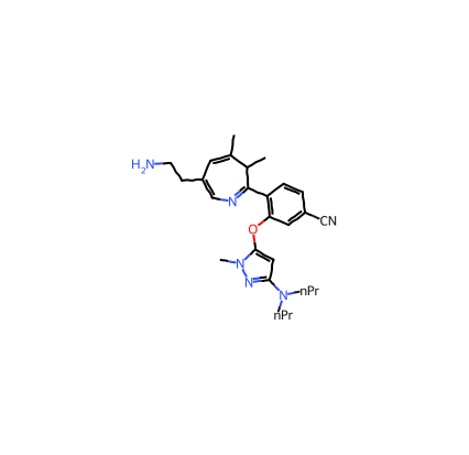 CCCN(CCC)c1cc(Oc2cc(C#N)ccc2C2=NC=C(CCN)C=C(C)C2C)n(C)n1